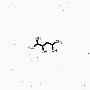 [CH2]C(O)CC(O)C([CH2])O